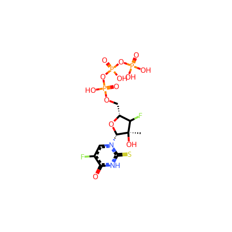 C[C@@]1(O)C(F)[C@@H](COP(=O)(O)OP(=O)(O)OP(=O)(O)O)O[C@H]1n1cc(F)c(=O)[nH]c1=S